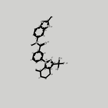 Cc1nc2ccc(N(C)C(=O)c3cccc(-n4nc(C(F)(F)F)c5c4C(C)CCC5)c3)cc2o1